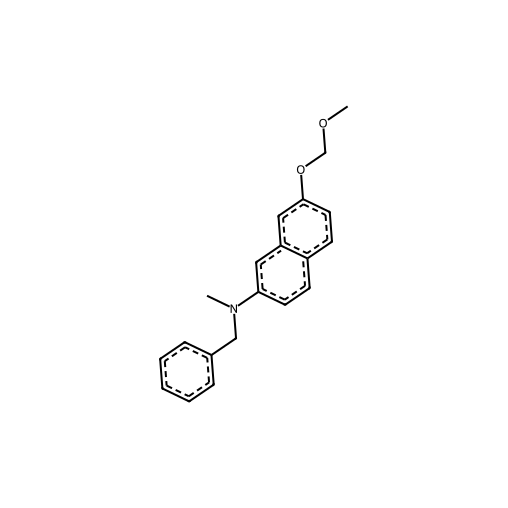 COCOc1ccc2ccc(N(C)Cc3ccccc3)cc2c1